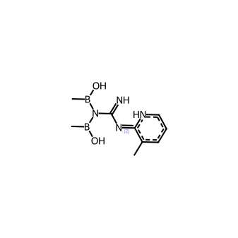 CB(O)N(B(C)O)C(=N)/N=c1\[nH]cccc1C